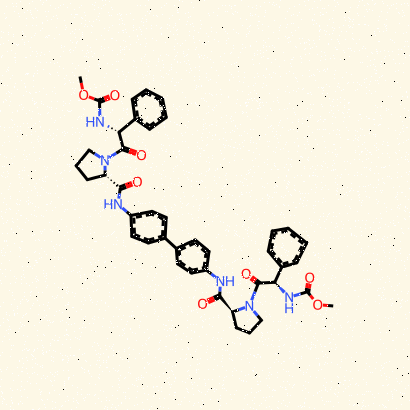 COC(=O)N[C@@H](C(=O)N1CCC[C@H]1C(=O)Nc1ccc(-c2ccc(NC(=O)[C@@H]3CCCN3C(=O)[C@H](NC(=O)OC)c3ccccc3)cc2)cc1)c1ccccc1